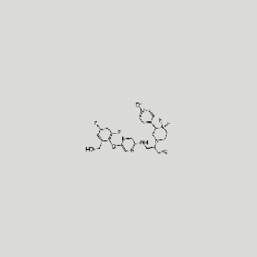 O=CC(CNc1cnc(Oc2c(F)cc(F)cc2CO)cn1)N1CCC(F)(F)C(c2cc[n+]([O-])cc2)C1